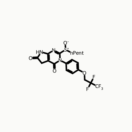 CCCCC[S+]([O-])c1nc2c(c(=O)n1-c1ccc(OCC(F)(F)C(F)(F)F)cc1)CC(=O)N2